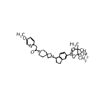 COc1ccc(CC(=O)N2CCC3(CC2)CN(C2CCc4cc(B5OC(C)(C)C(C)(C)O5)ccc42)C3)nc1